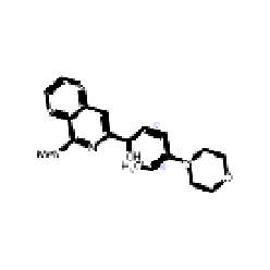 C=C(/C=C\C(=C/C)N1CCOCC1)c1cc2nccnc2c(NC)n1